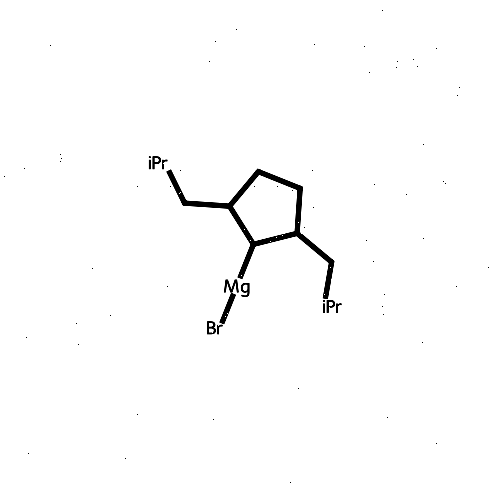 CC(C)CC1CCC(CC(C)C)[CH]1[Mg][Br]